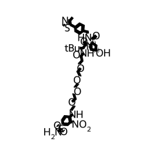 Cc1ncsc1-c1ccc(CNC(=O)[C@@H]2C[C@@H](O)CN2C(=O)C(NC(=O)CCOCCOCCOCCOCCNc2ccc(S(N)(=O)=O)cc2[N+](=O)[O-])C(C)(C)C)cc1